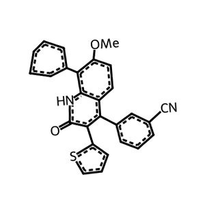 COc1ccc2c(-c3cccc(C#N)c3)c(-c3cccs3)c(=O)[nH]c2c1-c1ccccc1